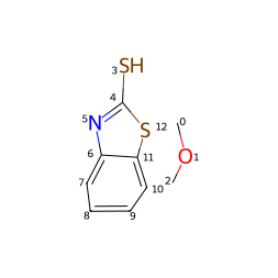 COC.Sc1nc2ccccc2s1